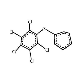 Clc1c(Cl)c(Cl)c(Sc2ccccc2)c(Cl)c1Cl